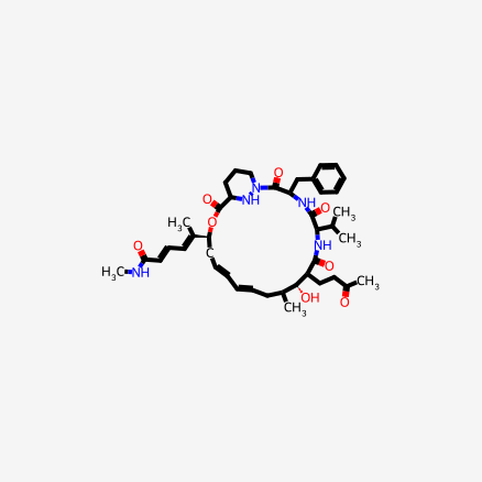 CNC(=O)/C=C/C=C(\C)[C@@H]1C/C=C/C=C/CC(C)[C@@H](O)C(CCC(C)=O)C(=O)NC(C(C)C)C(=O)NC(Cc2ccccc2)C(=O)N2CCCC(N2)C(=O)O1